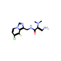 CN(C)/C(=C\N)C(=O)NCc1ncn2ccc(Cl)c(F)c12